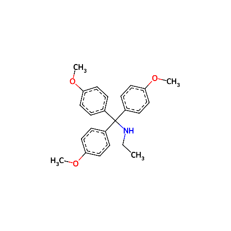 CCNC(c1ccc(OC)cc1)(c1ccc(OC)cc1)c1ccc(OC)cc1